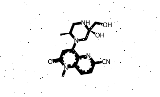 C[C@H]1CN[C@](O)(CO)CN1c1cc(=O)n(C)c2ccc(C#N)nc12